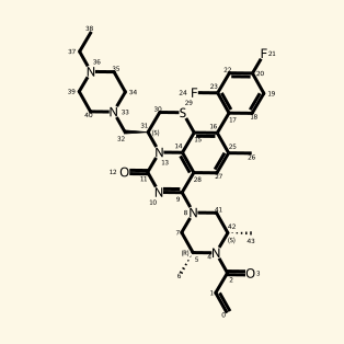 C=CC(=O)N1[C@H](C)CN(c2nc(=O)n3c4c(c(-c5ccc(F)cc5F)c(C)cc24)SC[C@@H]3CN2CCN(CC)CC2)C[C@@H]1C